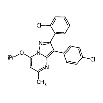 Cc1cc(OC(C)C)n2nc(-c3ccccc3Cl)c(-c3ccc(Cl)cc3)c2n1